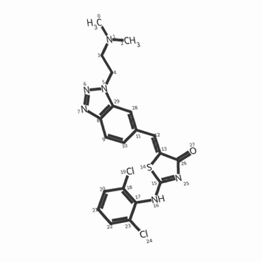 CN(C)CCn1nnc2ccc(/C=C3\SC(Nc4c(Cl)cccc4Cl)=NC3=O)cc21